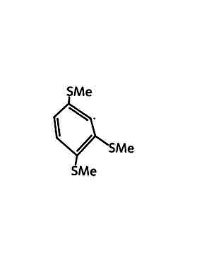 CSc1[c]c(SC)c(SC)cc1